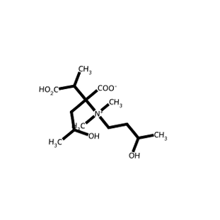 CC(O)CC[N+](C)(C)C(CC(C)O)(C(=O)[O-])C(C)C(=O)O